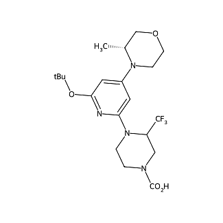 C[C@@H]1COCCN1c1cc(OC(C)(C)C)nc(N2CCN(C(=O)O)CC2C(F)(F)F)c1